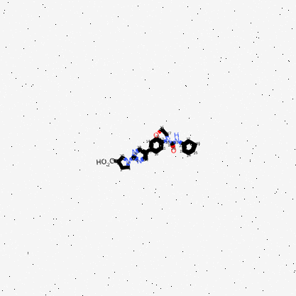 O=C(O)C1CCN(c2ncc(-c3ccc4c(c3)OCCN4C(=O)Nc3ccccc3)cn2)C1